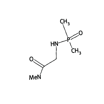 CNC(=O)CNP(C)(C)=O